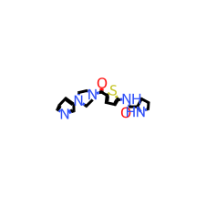 O=C(Nc1ccc(C(=O)N2CCN(c3cccnc3)CC2)s1)C1CCCN1